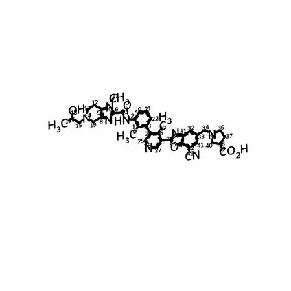 Cc1c(NC(=O)c2nc3c(n2C)CCN(CC(C)O)C3)cccc1-c1cncc(-c2nc3cc(CN4CCC(C(=O)O)C4)cc(C#N)c3o2)c1C